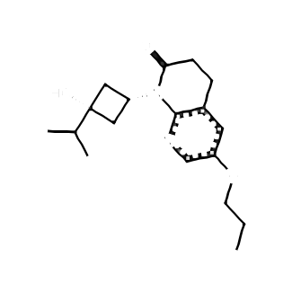 CCCOc1cnc2c(c1)CCC(=O)N2[C@H]1C[C@](O)(C(C)C)C1